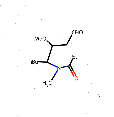 CCC(=O)N(C)C(C(C)CC)C(CC=O)OC